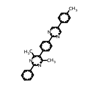 Cc1ccc(-c2cnc(-c3ccc(-c4c(C)nc(-c5ccccc5)nc4C)cc3)nc2)cc1